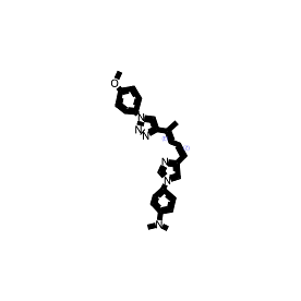 COc1ccc(-n2cc(/C(C)=C/C=C\c3cn(-c4ccc(N(C)C)cc4)cn3)nn2)cc1